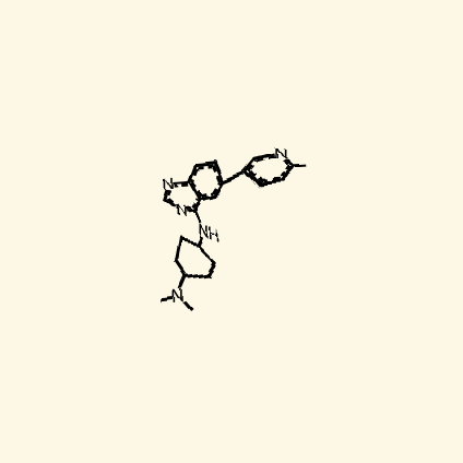 Cc1ccc(-c2ccc3ncnc(NC4CCC(N(C)C)CC4)c3c2)cn1